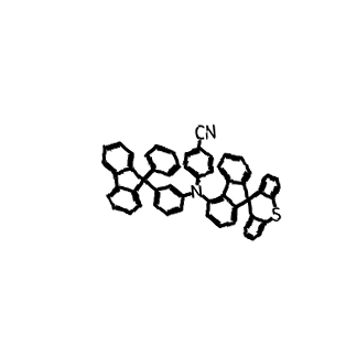 N#Cc1ccc(N(c2cccc(C3(c4ccccc4)c4ccccc4-c4ccccc43)c2)c2cccc3c2-c2ccccc2C32c3ccccc3Sc3ccccc32)cc1